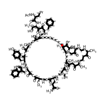 CCCC[C@H](NCN[C@@H](C)C(=O)CCN[C@@H](C)C(=O)CC(=O)[C@]1(C)CCC/C=C/CCCCCC[C@@](C)(NN[C@@H](Cc2ccccc2)C(=O)C(=O)[C@@H](NC(=O)[C@H](CC(C)C)NC(C)=O)[C@@H](C)O)C(=O)CN[C@@H](C)C(=O)CC(=O)[C@H](Cc2ccc(O)cc2)NN[C@@H](Cc2c[nH]c3ccccc23)C(=O)CC(=O)[C@H](C)NCC(=O)[C@H](CCC(N)=O)NN[C@@H](CC(C)C)C(=O)N1)C(=O)CN[C@@H](C)C(=O)CN